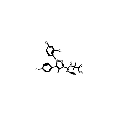 Cc1c(C(=NC#N)NC(C)(C)C(N)=O)nn(-c2ccc(Cl)cc2Cl)c1-c1ccc(Cl)cc1